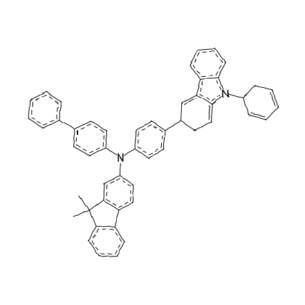 CC1(C)c2ccccc2-c2ccc(N(c3ccc(-c4ccccc4)cc3)c3ccc(C4C=c5c(n(C6C=CC=CC6)c6ccccc56)=CC4)cc3)cc21